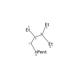 CCCCCCC(CC)C(CC)CC